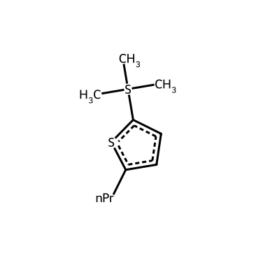 CCCc1ccc(S(C)(C)C)s1